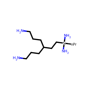 CCC[Si](N)(N)CCC(CCCN)CCCN